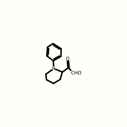 O=CC(=O)C1CCCCN1c1ccccc1